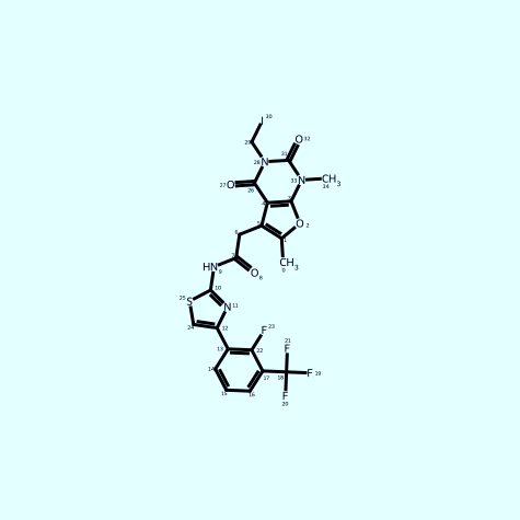 Cc1oc2c(c1CC(=O)Nc1nc(-c3cccc(C(F)(F)F)c3F)cs1)c(=O)n(CI)c(=O)n2C